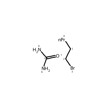 CCCCCBr.NC(N)=O